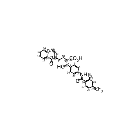 O=C(Nc1ccc([C@@H](O)[C@H](CCn2nnc3ccccc3c2=O)C(=O)O)cc1)c1ccc(C(F)(F)F)cc1F